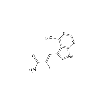 CC(C)COc1ncnc2[nH]cc(C=C(F)C(N)=O)c12